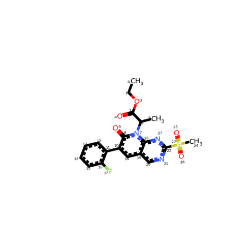 CCOC(=O)C(C)n1c(=O)c(-c2ccccc2F)cc2cnc(S(C)(=O)=O)nc21